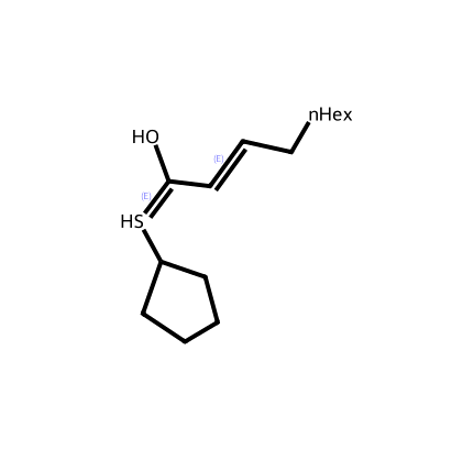 CCCCCCC/C=C/C(O)=[SH]\C1CCCC1